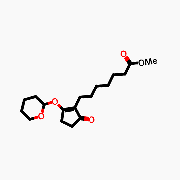 COC(=O)CCCCCCC1=C(OC2CCCCO2)CCC1=O